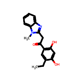 CCc1cc(C(=O)Cc2nc3ccccc3n2C)c(O)cc1O